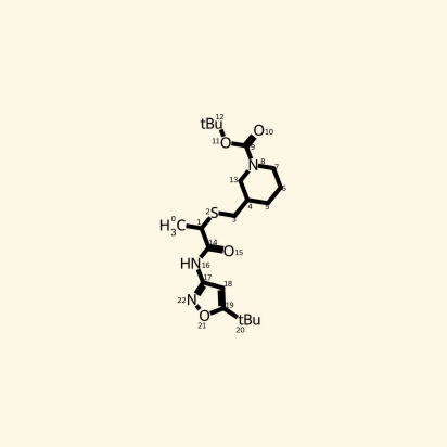 CC(SCC1CCCN(C(=O)OC(C)(C)C)C1)C(=O)Nc1cc(C(C)(C)C)on1